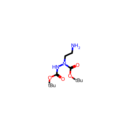 CC(C)(C)OC(=O)NN(CCN)C(=O)OC(C)(C)C